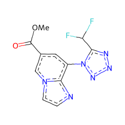 COC(=O)c1cc(-n2nnnc2C(F)F)c2nccn2c1